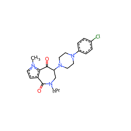 CCCN1CC(N2CCN(c3ccc(Cl)cc3)CC2)C(=O)c2c(ccn2C)C1=O